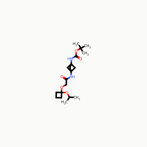 CC(C)OC1(OCC(=O)NC23CC(NC(=O)OC(C)(C)C)(C2)C3)CCC1